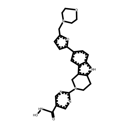 O=C(NO)c1cnc(N2CCc3[nH]c4ccc(-c5ccc(CN6CCOCC6)o5)cc4c3C2)nc1